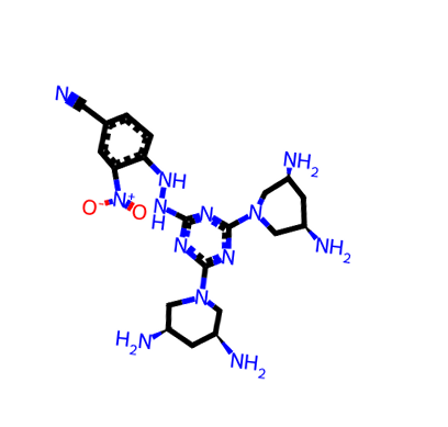 N#Cc1ccc(NNc2nc(N3C[C@H](N)C[C@H](N)C3)nc(N3C[C@H](N)C[C@H](N)C3)n2)c([N+](=O)[O-])c1